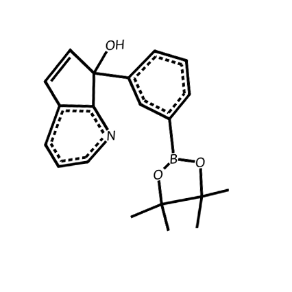 CC1(C)OB(c2cccc(C3(O)C=Cc4cccnc43)c2)OC1(C)C